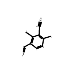 Cc1ccc(C=S)c(C)c1C#N